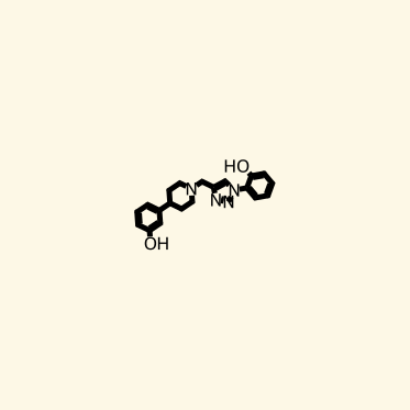 Oc1cccc(C2CCN(Cc3cn(-c4ccccc4O)nn3)CC2)c1